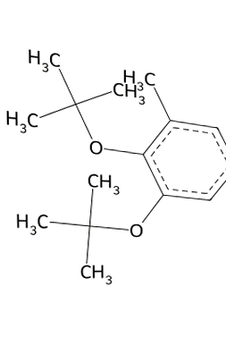 Cc1cccc(OC(C)(C)C)c1OC(C)(C)C